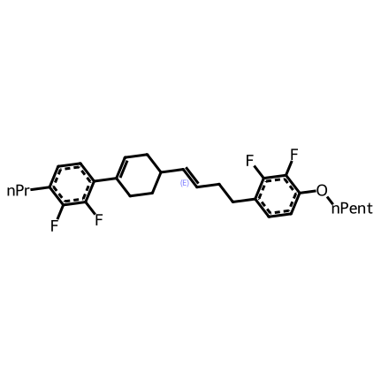 CCCCCOc1ccc(CC/C=C/C2CC=C(c3ccc(CCC)c(F)c3F)CC2)c(F)c1F